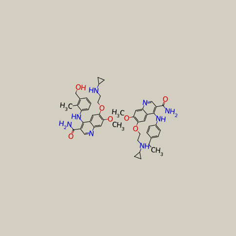 CCc1ccc(Nc2c(C(N)=O)cnc3cc(OC)c(OCCNC4CC4)cc23)cc1.COc1cc2ncc(C(N)=O)c(Nc3cccc(CO)c3C)c2cc1OCCNC1CC1